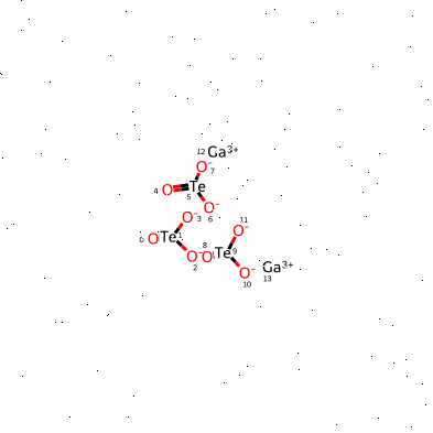 O=[Te]([O-])[O-].O=[Te]([O-])[O-].O=[Te]([O-])[O-].[Ga+3].[Ga+3]